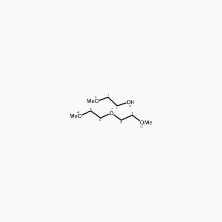 COCCO.COCCOCCOC